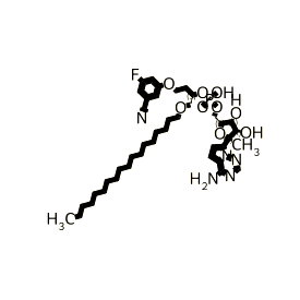 CCCCCCCCCCCCCCCCCCOC[C@H](CCOc1cc(F)cc(C#N)c1)OP(=O)(O)OC[C@H]1O[C@@](C)(c2ccc3c(N)ncnn23)[C@H](O)[C@@H]1O